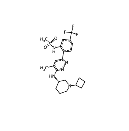 Cc1cc(-c2ccc(C(F)(F)F)cc2NS(C)(=O)=O)nnc1N[C@@H]1CCCN(C2CCC2)C1